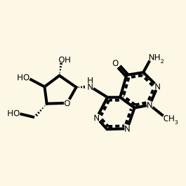 Cn1nc(N)c(=O)c2c(N[C@@H]3O[C@H](CO)C(O)[C@@H]3O)ncnc21